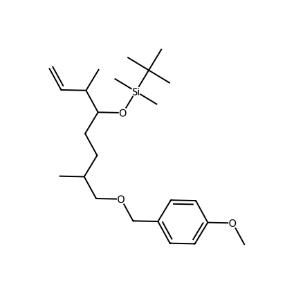 C=CC(C)C(CCC(C)COCc1ccc(OC)cc1)O[Si](C)(C)C(C)(C)C